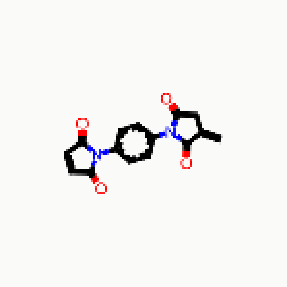 C=C1CC(=O)N(c2ccc(N3C(=O)C=CC3=O)cc2)C1=O